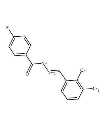 O=C(N/N=C/c1cccc(C(F)(F)F)c1O)c1ccc(F)cc1